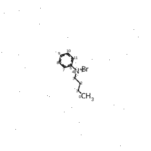 CCCC[N+](Br)c1ccccc1